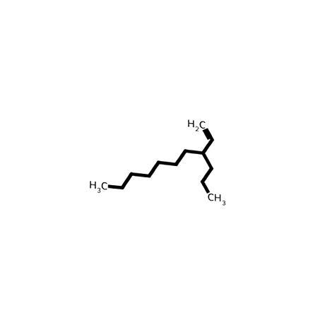 C=CC(CCC)CCCCCCC